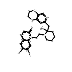 CC(C)(C)C1(Cc2cc3c(cn2)OCCO3)C[CH]CCN1CCn1c(=O)cnc2cc(F)c(F)cc21